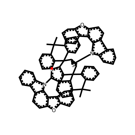 CC1(C)c2ccccc2C2(c3ccccc31)c1cc(-n3c4ccccc4c4ccc5oc6ccccc6c5c43)sc1C1(c3ccccc3C(C)(C)c3ccccc31)c1cc(-n3c4ccccc4c4ccc5oc6ccccc6c5c43)sc12